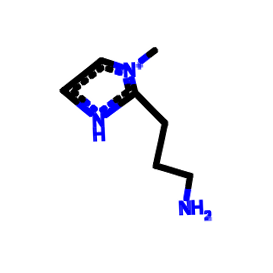 C[n+]1cc[nH]c1CCCN